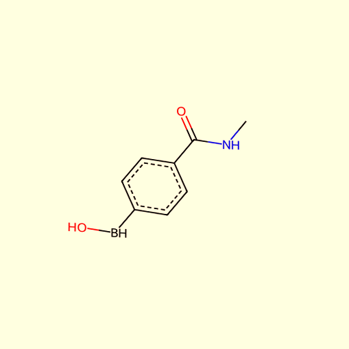 CNC(=O)c1ccc(BO)cc1